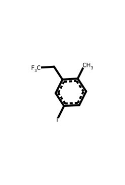 Cc1ccc(I)cc1CC(F)(F)F